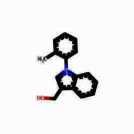 Cc1ccccc1-n1cc(CO)c2ccccc21